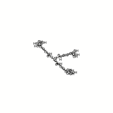 O=C(CCOCC(COCCC(=O)NCCOCCOCCO[C@H]1OC(CO)[C@@H](O)C(O)C1O)COCCC(=O)NCCOCCOCCO[C@H]1OC[C@](O)(CCO)C(O)C1O)NCCOCCOCCOC1=CC(O)[C@@H](O)C(CO)O1